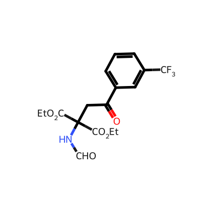 CCOC(=O)C(CC(=O)c1cccc(C(F)(F)F)c1)(NC=O)C(=O)OCC